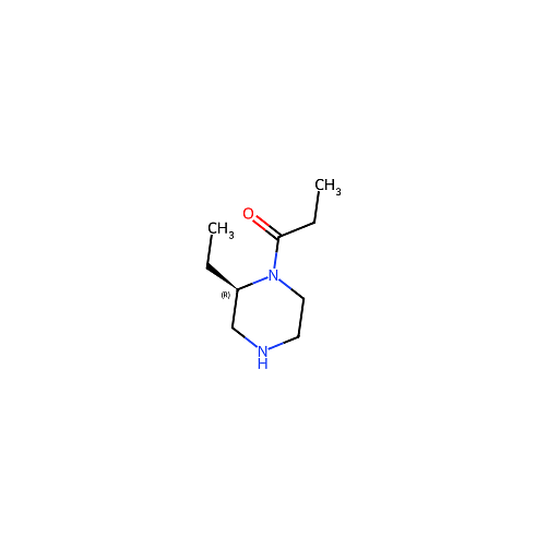 CCC(=O)N1CCNC[C@H]1CC